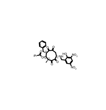 CC(C)C(=O)O[C@@H]1[C@H](C)C(=O)C(=O)[C@@H](NCc2cc([N+](=O)[O-])cc([N+](=O)[O-])c2O)CC(=O)C(=O)[C@@H]1Cc1ccccc1